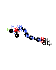 CC(C)(C)OC(=O)N1CCC(CCN2CCC(CN3CCC(n4cc(-c5cnc(N)c(C(=O)O[C@@H](C(=O)Nc6ccc(F)cc6)c6ccccc6)n5)cn4)CC3)CC2)CC1